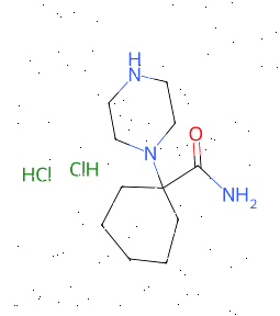 Cl.Cl.NC(=O)C1(N2CCNCC2)CCCCC1